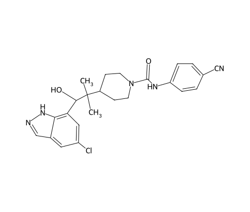 CC(C)(C1CCN(C(=O)Nc2ccc(C#N)cc2)CC1)C(O)c1cc(Cl)cc2cn[nH]c12